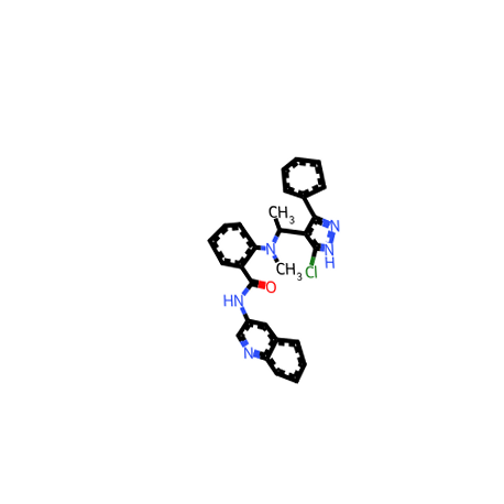 CC(c1c(-c2ccccc2)n[nH]c1Cl)N(C)c1ccccc1C(=O)Nc1cnc2ccccc2c1